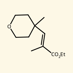 CCOC(=O)C(C)=CC1(C)CCOCC1